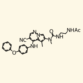 CC(=O)NCCNC(=O)N(C)c1cn2ncc(C#N)c(Nc3ccc(Oc4ccccc4)cc3)c2c1C